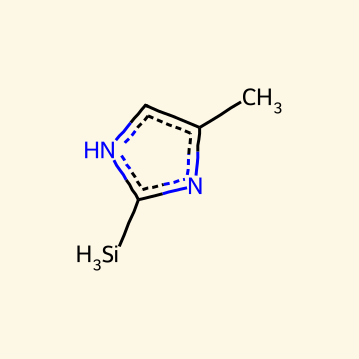 Cc1c[nH]c([SiH3])n1